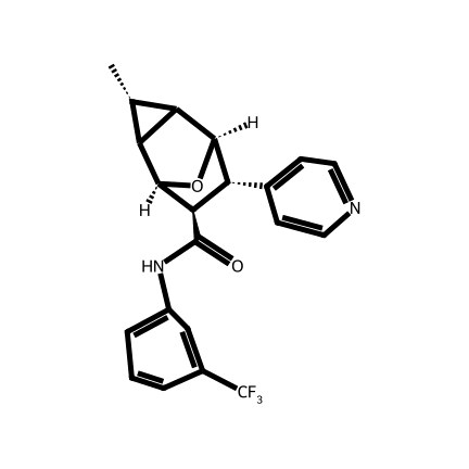 C[C@H]1C2C1[C@@H]1O[C@H]2[C@H](C(=O)Nc2cccc(C(F)(F)F)c2)[C@H]1c1ccncc1